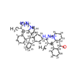 CC(C)B1c2ccccc2C2(c3ccccc3-c3cc(CC(C)B4c5ccccc5C(=O)c5ccc[n+](N)c54)ccc32)c2ccc[n+](N)c21